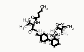 CCCCC(=O)N[C@H](C(=O)NCc1ccc(-c2ccccc2S(=O)(=O)Nc2onc(C)c2C)cc1)C(C)C